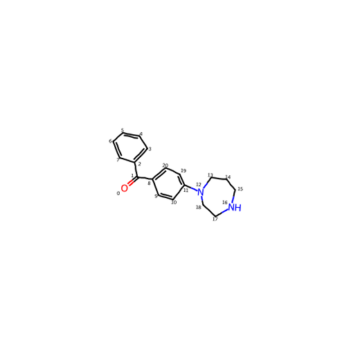 O=C(c1ccccc1)c1ccc(N2CCCNCC2)cc1